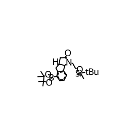 CC1(C)OB(c2cccc3c2C[C@@H]2CC(=O)N(CCO[Si](C)(C)C(C)(C)C)C32)OC1(C)C